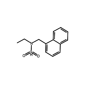 CCN(Cc1cccc2ccccc12)[SH](=O)=O